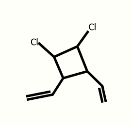 C=CC1C(Cl)C(Cl)C1C=C